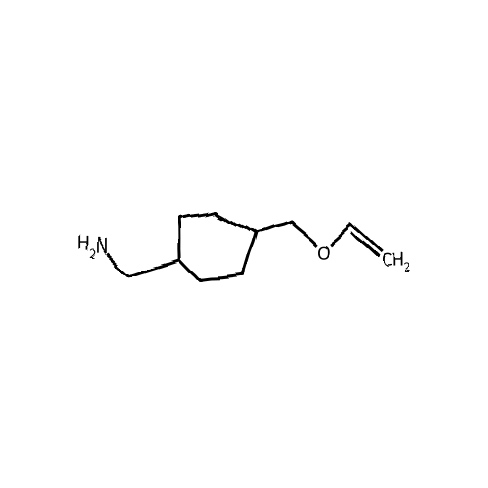 C=COCC1CCC(CN)CC1